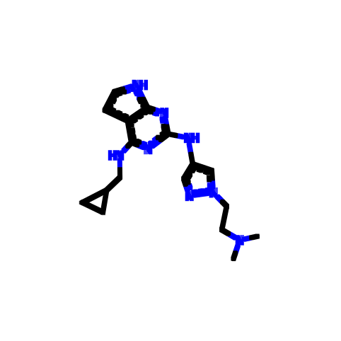 CN(C)CCn1cc(Nc2nc(NCC3CC3)c3cc[nH]c3n2)cn1